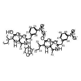 C1COCCN1.CCC(C)C(NC(=O)C(C)NC(=O)Cc1cccc([N+](=O)[O-])c1)C(=O)O.CCC(C)C(NC(=O)C(C)NC(=O)Cc1cccc([N+](=O)[O-])c1)C(=O)OC